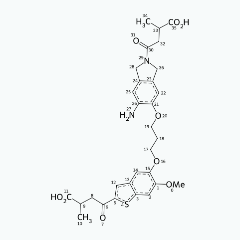 COc1cc2sc(C(=O)CC(C)C(=O)O)cc2cc1OCCCOc1cc2c(cc1N)CN(C(=O)CC(C)C(=O)O)C2